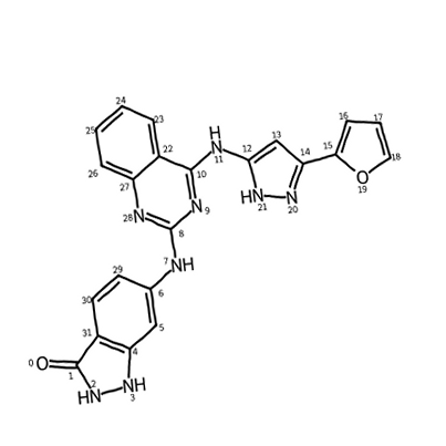 O=c1[nH][nH]c2cc(Nc3nc(Nc4cc(-c5ccco5)n[nH]4)c4ccccc4n3)ccc12